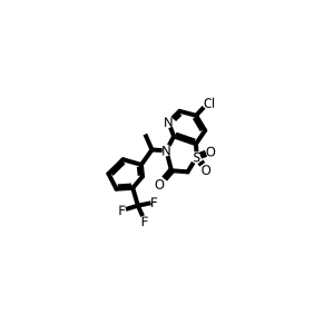 CC(c1cccc(C(F)(F)F)c1)N1C(=O)CS(=O)(=O)c2cc(Cl)cnc21